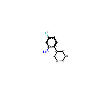 Nc1cc(F)ccc1C1CCCCC1